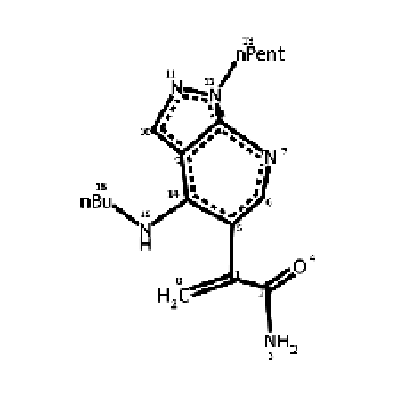 C=C(C(N)=O)c1cnc2c(cnn2CCCCC)c1NCCCC